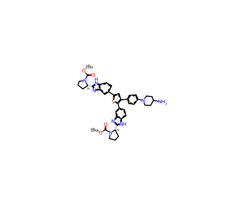 CC(C)(C)OC(=O)N1CCC[C@H]1c1nc2cc(-c3cc(-c4ccc(N5CCC(N)CC5)cc4)c(-c4ccc5[nH]c([C@@H]6CCCN6C(=O)OC(C)(C)C)nc5c4)s3)ccc2[nH]1